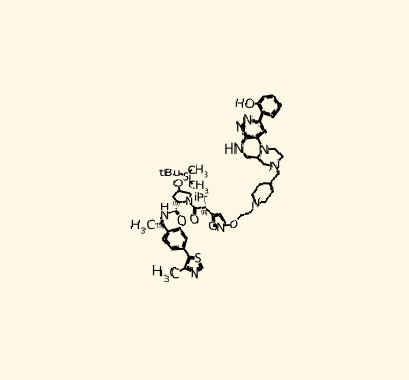 Cc1ncsc1-c1ccc([C@H](C)NC(=O)[C@@H]2CC(O[Si](C)(C)C(C)(C)C)CN2C(=O)[C@@H](c2cc(OCCN3CCC(CN4CCN5c6cc(-c7ccccc7O)nnc6NCC5C4)CC3)no2)C(C)C)cc1